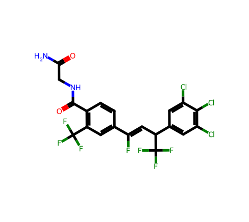 NC(=O)CNC(=O)c1ccc(/C(F)=C/C(c2cc(Cl)c(Cl)c(Cl)c2)C(F)(F)F)cc1C(F)(F)F